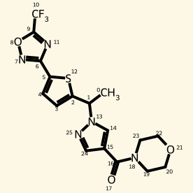 CC(c1ccc(-c2noc(C(F)(F)F)n2)s1)n1cc(C(=O)N2CCOCC2)cn1